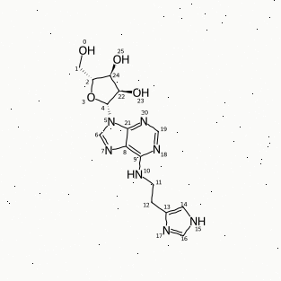 OC[C@H]1O[C@@H](n2cnc3c(NCCc4c[nH]cn4)ncnc32)[C@H](O)[C@@H]1O